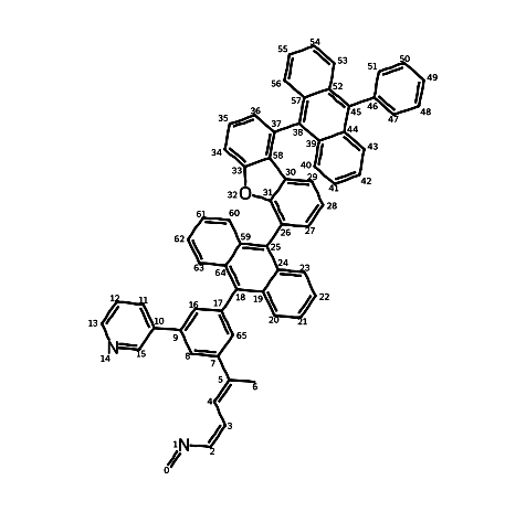 C=N/C=C\C=C(/C)c1cc(-c2cccnc2)cc(-c2c3ccccc3c(-c3cccc4c3oc3cccc(-c5c6ccccc6c(-c6ccccc6)c6ccccc56)c34)c3ccccc23)c1